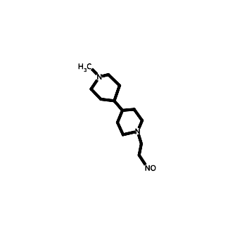 CN1CCC(C2CCN(CCN=O)CC2)CC1